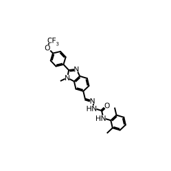 Cc1cccc(C)c1NC(=O)N/N=C/c1ccc2nc(-c3ccc(OC(F)(F)F)cc3)n(C)c2c1